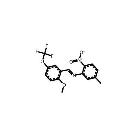 COc1ccc(OC(F)(F)F)cc1/C=N/c1cc(C)ccc1[N+](=O)[O-]